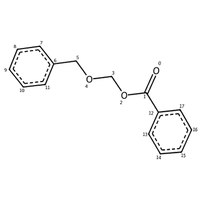 O=C(OCOCc1ccccc1)c1ccccc1